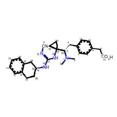 CN(C)[C@@H](Cc1ccc(CC(=O)O)cc1)C1(NC(=NC#N)N[C@H]2CCc3ccccc3C2)CC1